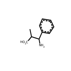 CC(C(=O)O)C(N)c1ccccc1